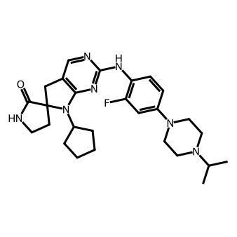 CC(C)N1CCN(c2ccc(Nc3ncc4c(n3)N(C3CCCC3)C3(CCNC3=O)C4)c(F)c2)CC1